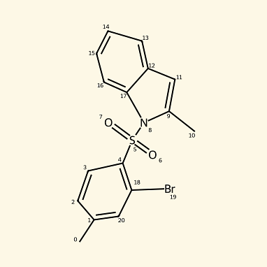 Cc1ccc(S(=O)(=O)n2c(C)cc3ccccc32)c(Br)c1